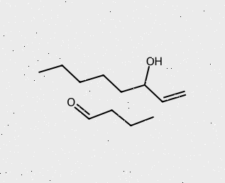 C=CC(O)CCCCC.CCCC=O